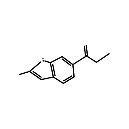 C=C(CC)c1ccc2cc(C)sc2c1